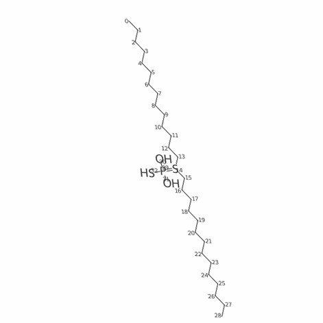 CCCCCCCCCCCCCCS(CCCCCCCCCCCCCC)=P(O)(O)S